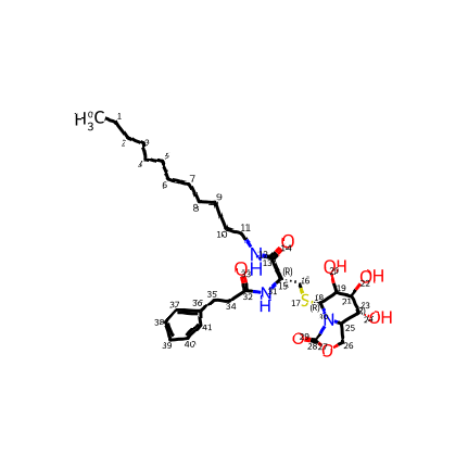 CCCCCCCCCCCCNC(=O)[C@H](CS[C@@H]1C(O)C(O)[C@H](O)C2COC(=O)N21)NC(=O)CCc1ccccc1